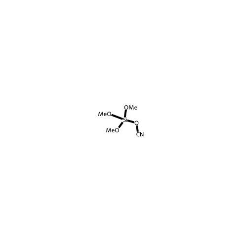 CO[Si](OC)(OC)OC#N